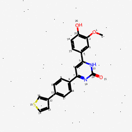 COc1cc(-c2cc(-c3ccc(-c4ccsc4)cc3)nc(=O)[nH]2)ccc1O